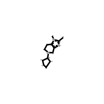 Cc1nc2c(n1C)CCN(C1CCCC1)C2